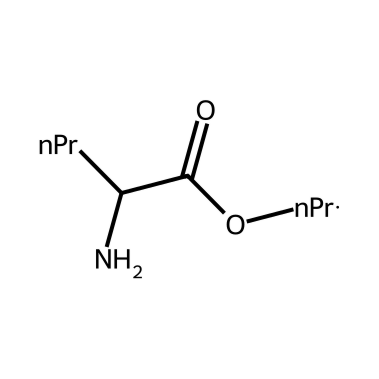 CC[CH]OC(=O)C(N)CCC